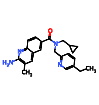 CCc1ccc(CN(CC2CC2)C(=O)c2ccc3nc(N)c(C)cc3c2)nc1